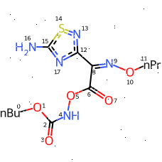 CCCCOC(=O)NOC(=O)C(=NOCCC)c1nsc(N)n1